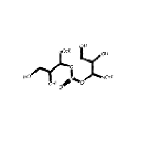 CCCCCCCCC(O[N+](=O)OC(CCCCCCCC)C(O)CO)C(O)CO